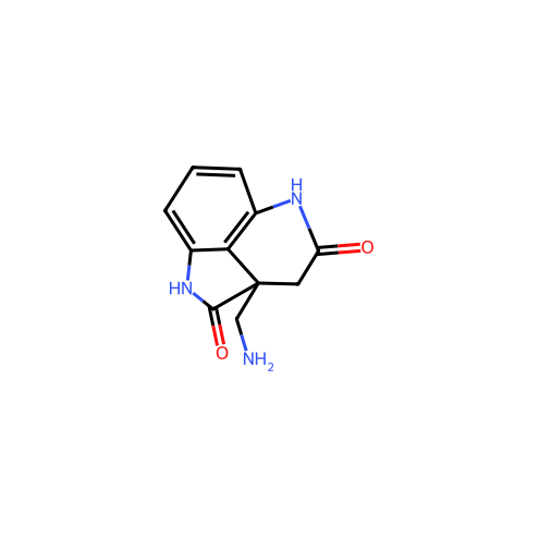 NCC12CC(=O)Nc3cccc(c31)NC2=O